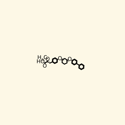 CO[C@@H](Cc1ccc(O[C@H]2CCC[C@@H](Oc3ccc(-c4ccccc4)cc3)C2)cc1)C(=O)O